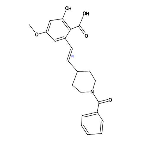 COc1cc(O)c(C(=O)O)c(/C=C/C2CCN(C(=O)c3ccccc3)CC2)c1